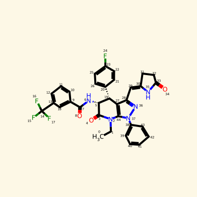 CCN1C(=O)[C@H](NC(=O)c2cccc(C(F)(F)F)c2)[C@H](c2ccc(F)cc2)c2c(/C=C3/CCC(=O)N3)nn(-c3ccccc3)c21